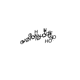 COc1cc(Nc2nccc(-c3ccc(OC4CCN(C(=O)[C@H](C)O)CC4(F)F)c(C#N)c3)n2)ccc1N1CCN(C2COC2)CC1